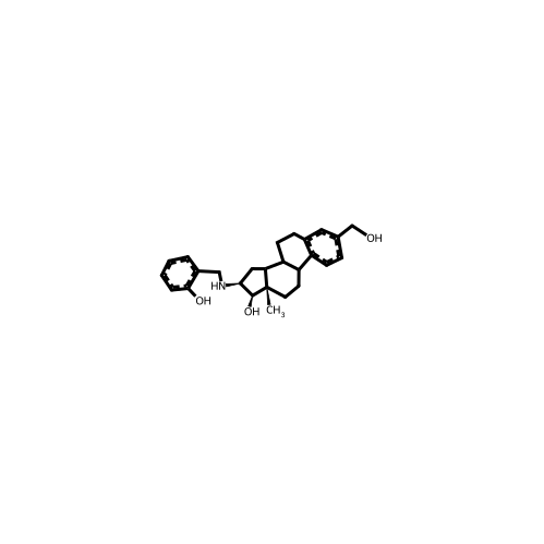 C[C@]12CCC3c4ccc(CO)cc4CCC3C1C[C@H](NCc1ccccc1O)[C@@H]2O